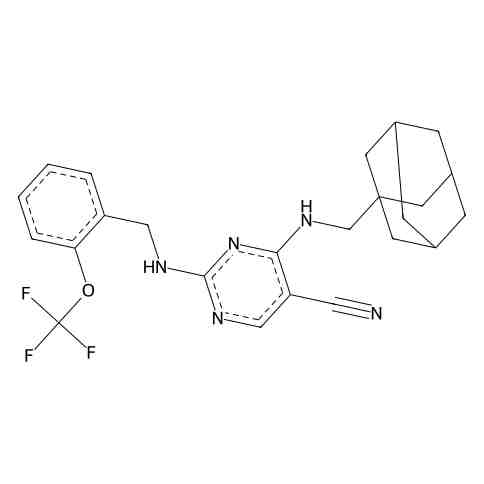 N#Cc1cnc(NCc2ccccc2OC(F)(F)F)nc1NCC12CC3CC(CC(C3)C1)C2